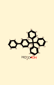 O=C(O)O.c1ccc(-c2ccc(C(c3ccccc3)(c3ccccc3)c3ccccc3)cc2)cc1